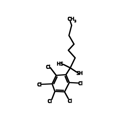 CCCCCCC(S)(S)c1c(Cl)c(Cl)c(Cl)c(Cl)c1Cl